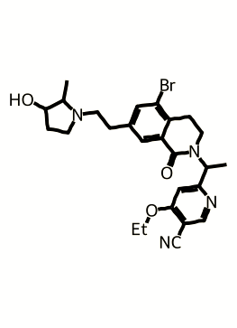 CCOc1cc(C(C)N2CCc3c(Br)cc(CCN4CCC(O)C4C)cc3C2=O)ncc1C#N